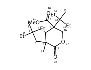 CCC(C)(CC)CC1(C)CC(C(=O)OC)(C(C)(CC)CC)COC1=O